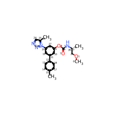 COC[C@@H](C)NC(=O)Oc1cc(-c2ccc(C)cc2)cc(-n2nncc2C)c1